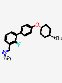 CCCNCc1cccc(-c2ccc(O[C@H]3CC[C@H](C(C)(C)C)CC3)cc2)c1F